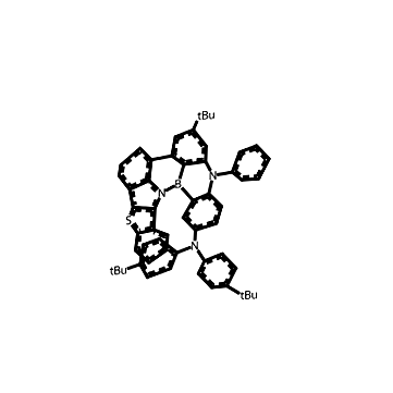 CC(C)(C)c1ccc(N(c2ccc(C(C)(C)C)cc2)c2ccc3c(c2)B2c4c(cc(C(C)(C)C)cc4N3c3ccccc3)-c3cccc4c5sc6ccccc6c5n2c34)cc1